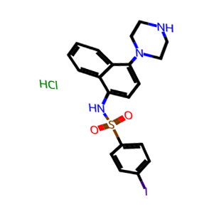 Cl.O=S(=O)(Nc1ccc(N2CCNCC2)c2ccccc12)c1ccc(I)cc1